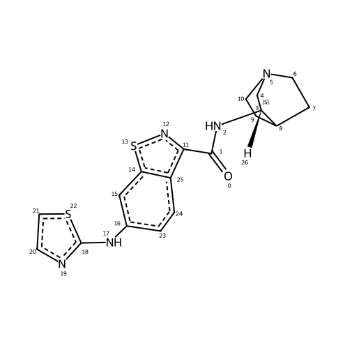 O=C(N[C@@H]1CN2CCC1CC2)c1nsc2cc(Nc3nccs3)ccc12